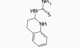 NC(=S)NC1CCc2ccccc2N1